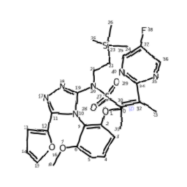 COc1cccc(OC)c1-n1c(-c2ccco2)nnc1N(CC[Si](C)(C)C)S(=O)(=O)/C(C)=C(/C)c1ncc(F)cn1